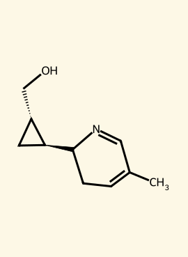 CC1=CCC([C@H]2C[C@@H]2CO)N=C1